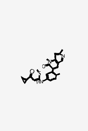 CSC(=CC(=O)C1CC1)Nc1ccc(C)c(-c2cc3cnc(C)cc3n(C)c2=O)c1